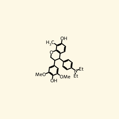 CCN(CC)c1ccc(C2c3ccc(O)c(C)c3OCC2c2cc(OC)c(O)c(OC)c2)cc1